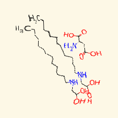 CCCCCCCCCCCCCNCC(O)O.CCCCCCCCCCCCCNCC(O)O.N[C@@H](CC(=O)O)C(=O)O